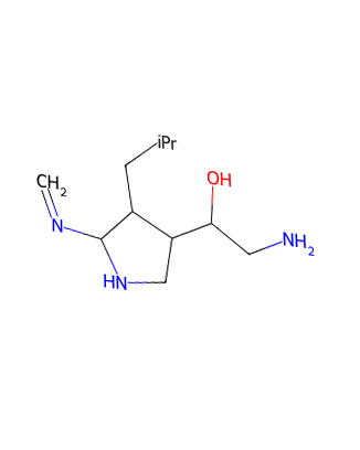 C=NC1NCC(C(O)CN)C1CC(C)C